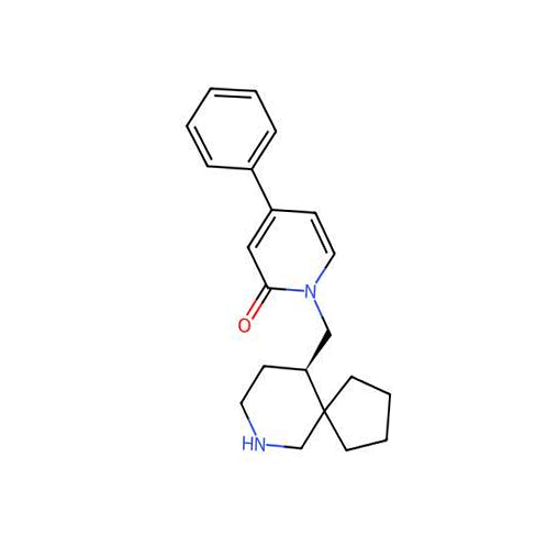 O=c1cc(-c2ccccc2)ccn1C[C@@H]1CCNCC12CCCC2